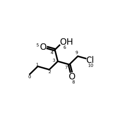 CCCC(C(=O)O)C(=O)CCl